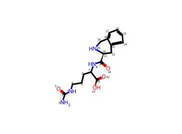 NC(=O)NCCCC(NC(=O)[C@@H]1Cc2ccccc2CN1)C(=O)O